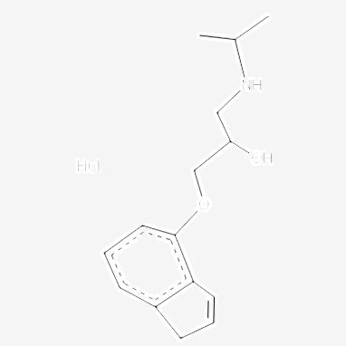 CC(C)NCC(O)COc1cccc2c1C=CC2.Cl